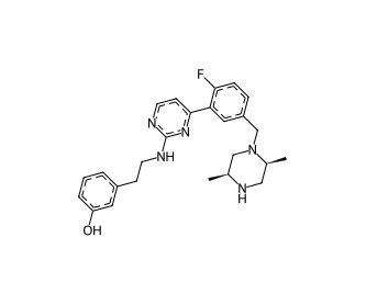 C[C@H]1CN(Cc2ccc(F)c(-c3ccnc(NCCc4cccc(O)c4)n3)c2)[C@@H](C)CN1